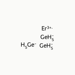 [Er+3].[GeH5-].[GeH5-].[GeH5-]